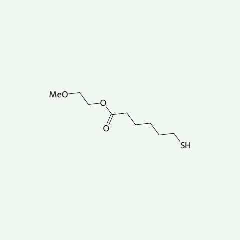 COCCOC(=O)CCCCCS